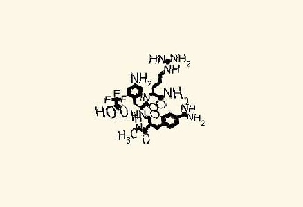 CNC(=O)C(Cc1ccc(C(=N)N)cc1)C(=O)N[C@@H](Cc1ccc(N)cc1)C(=O)N[C@@H](CCCNC(=N)N)C(N)=O.O=C(O)C(F)(F)F